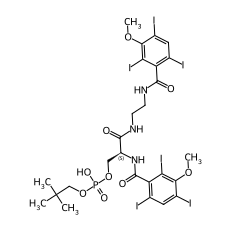 COc1c(I)cc(I)c(C(=O)NCCNC(=O)[C@H](COP(=O)(O)OCC(C)(C)C)NC(=O)c2c(I)cc(I)c(OC)c2I)c1I